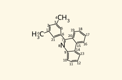 Cc1cc(C)cc(-c2nc3ccccc3c3ccccc23)c1